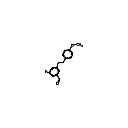 COc1ccc(CCc2cc(F)cc(C=O)c2)cc1